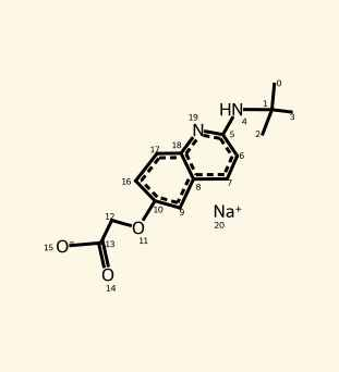 CC(C)(C)Nc1ccc2cc(OCC(=O)[O-])ccc2n1.[Na+]